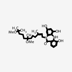 COC(C)(C)CCCC(C)(CCCC(C)=CCN1C(=O)c2cccc(O)c2Nc2c(O)cc(O)cc21)OC